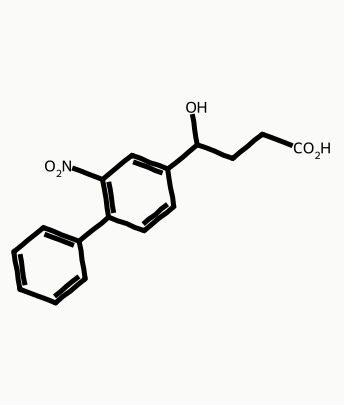 O=C(O)CCC(O)c1ccc(-c2ccccc2)c([N+](=O)[O-])c1